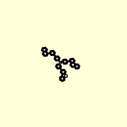 c1cc(-c2ccc(N(c3ccc(-c4cccc5c4ccc4ccccc45)cc3)c3cccc(-c4ccc5oc6ccccc6c5c4)c3)cc2)cc(-c2cccc3ccccc23)c1